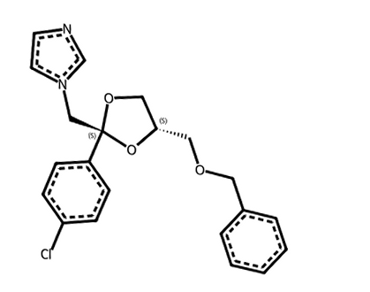 Clc1ccc([C@]2(Cn3ccnc3)OC[C@H](COCc3ccccc3)O2)cc1